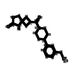 O=C1NC2(CO1)CC(C(=O)N1CCC(c3cccc(CC(F)(F)F)c3)CC1)C2